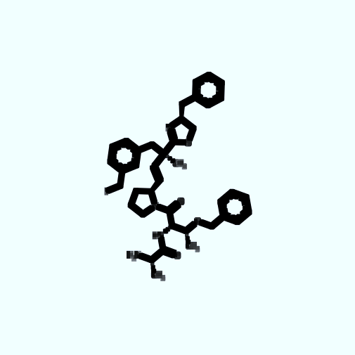 C[C@H](N)C(=O)N[C@H](C(=O)N1CCC[C@H]1/C=C/[C@@](C)(Cc1cccc(CI)c1)C1=N[C@@H](Cc2ccccc2)CO1)[C@@H](C)OCc1ccccc1